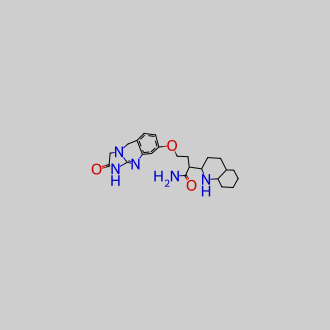 NC(=O)C(CCOc1ccc2c(c1)N=C1NC(=O)CN1C2)C1CCC2CCCCC2N1